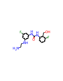 NCCNc1cc(F)cc(NC(=O)Nc2cccc(F)c2CO)c1